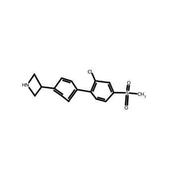 CS(=O)(=O)c1ccc(-c2ccc(C3CNC3)cc2)c(Cl)c1